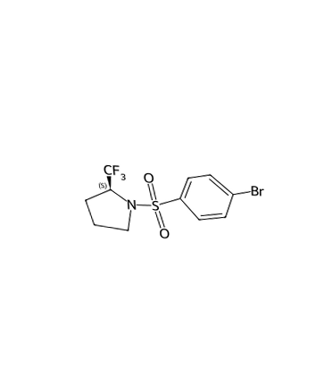 O=S(=O)(c1ccc(Br)cc1)N1CCC[C@H]1C(F)(F)F